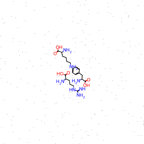 N=C(N)NCCCC(N)C(=O)O.NC(Cc1ccccc1)C(=O)O.NCCCCC(N)C(=O)O